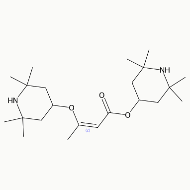 C/C(=C/C(=O)OC1CC(C)(C)NC(C)(C)C1)OC1CC(C)(C)NC(C)(C)C1